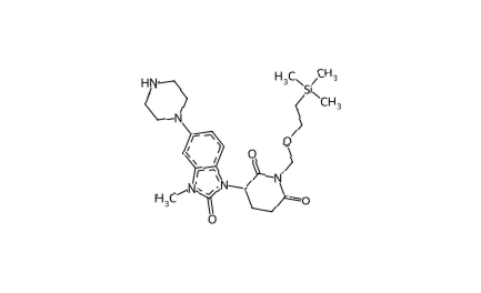 Cn1c(=O)n(C2CCC(=O)N(COCC[Si](C)(C)C)C2=O)c2ccc(N3CCNCC3)cc21